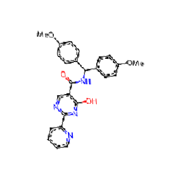 COc1ccc(C(NC(=O)c2cnc(-c3ccccn3)nc2O)c2ccc(OC)cc2)cc1